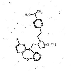 CN(C)c1ccc(CCN2CCCC2CN2c3cc(F)ccc3COc3ccccc32)cc1.Cl.Cl